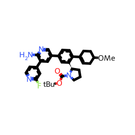 COC1CC=C(c2ccc(-c3cnc(N)c(-c4ccnc(F)c4)c3)cc2[C@@H]2CCCN2C(=O)OC(C)(C)C)CC1